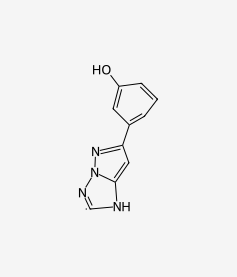 Oc1cccc(-c2cc3[nH][c]nn3n2)c1